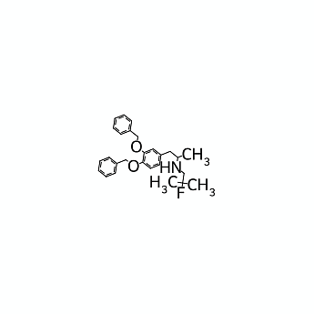 CC(Cc1ccc(OCc2ccccc2)c(OCc2ccccc2)c1)NCC(C)(C)F